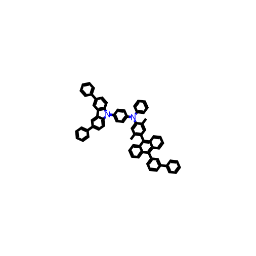 Cc1cc(N(c2ccccc2)c2ccc(-n3c4ccc(-c5ccccc5)cc4c4cc(-c5ccccc5)ccc43)cc2)c(C)cc1-c1c2ccccc2c(-c2cccc(-c3ccccc3)c2)c2ccccc12